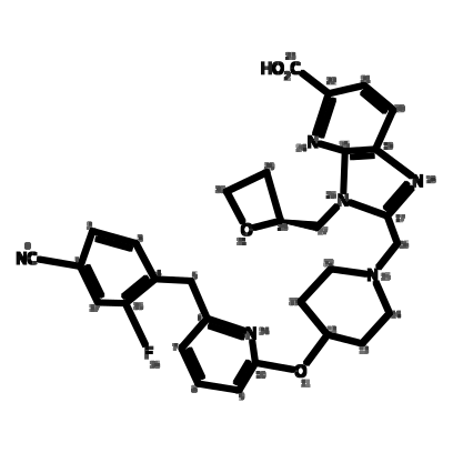 N#Cc1ccc(Cc2cccc(OC3CCN(Cc4nc5ccc(C(=O)O)nc5n4C[C@@H]4CCO4)CC3)n2)c(F)c1